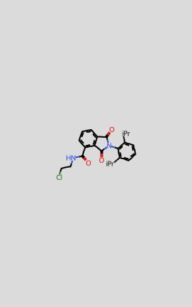 CC(C)c1cccc(C(C)C)c1N1C(=O)c2cccc(C(=O)NCCCl)c2C1=O